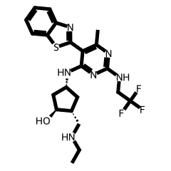 CCNC[C@H]1C[C@@H](Nc2nc(NCC(F)(F)F)nc(C)c2-c2nc3ccccc3s2)C[C@@H]1O